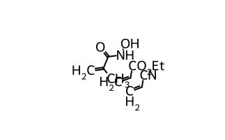 C=C(C)C(=O)NO.C=CC#N.C=CC(=O)OCC